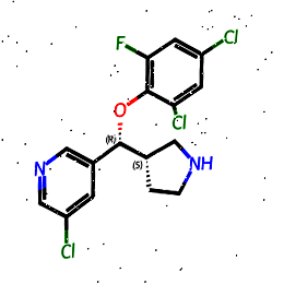 Fc1cc(Cl)cc(Cl)c1O[C@@H](c1cncc(Cl)c1)[C@H]1CCNC1